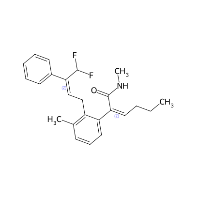 CCC/C=C(\C(=O)NC)c1cccc(C)c1C/C=C(/c1ccccc1)C(F)F